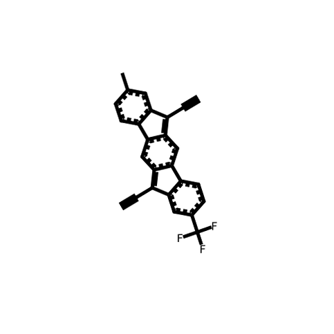 C#CC1=c2cc3c(cc2-c2ccc(C)cc21)=C(C#C)c1cc(C(F)(F)F)ccc1-3